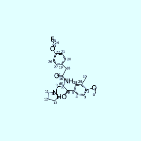 COc1ccc([C@@H](O)[C@@H](CN2CCCC2)NC(=O)Cc2ccc(OCF)cc2)cc1C